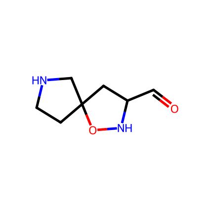 O=CC1CC2(CCNC2)ON1